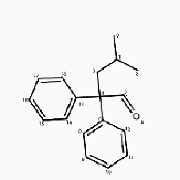 CC(C)CC([C]=O)(c1ccccc1)c1ccccc1